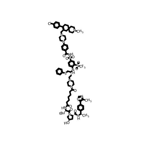 Cc1ncsc1-c1ccc([C@H](C)NC(=O)[C@@H]2C[C@@H](O)CN2C(=O)[C@@H](NC(=O)CCCCCC(=O)N2CCN(CC[C@H](CSc3ccccc3)Nc3ccc(S(=O)(=O)NC(=O)c4ccc(N5CCN(CC6=C(c7ccc(Cl)cc7)CCC7(CCN(C)CC7)C6)CC5)cc4)cc3S(=O)(=O)C(F)(F)F)CC2)C(C)(C)C)cc1